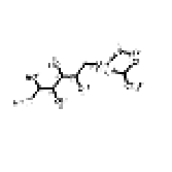 CC(C)NC(C)C.O=C(O)C(Cl)Cl.O=C(O)C(O)C(O)C(O)C(O)CO